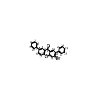 O=c1c2cc(-c3ccccc3)ccc2oc2cc(Br)c(-c3ccccc3)cc12